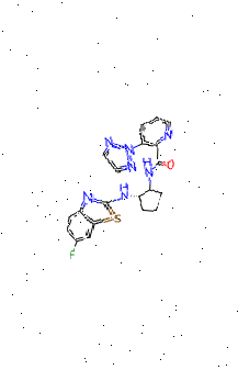 O=C(NC1CCC[C@@H]1Nc1nc2ccc(F)cc2s1)c1ncccc1-n1nccn1